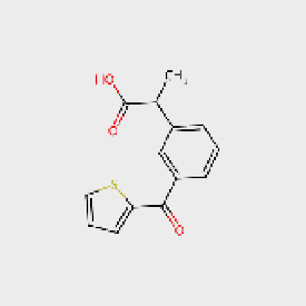 CC(C(=O)O)c1cccc(C(=O)c2cccs2)c1